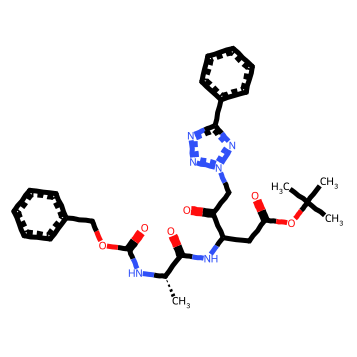 C[C@H](NC(=O)OCc1ccccc1)C(=O)NC(CC(=O)OC(C)(C)C)C(=O)Cn1nnc(-c2ccccc2)n1